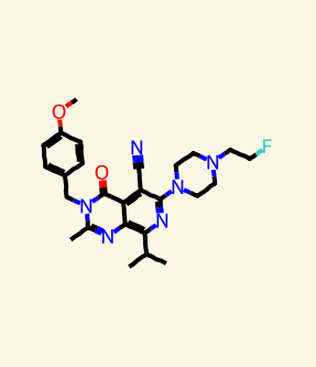 COc1ccc(Cn2c(C)nc3c(C(C)C)nc(N4CCN(CCF)CC4)c(C#N)c3c2=O)cc1